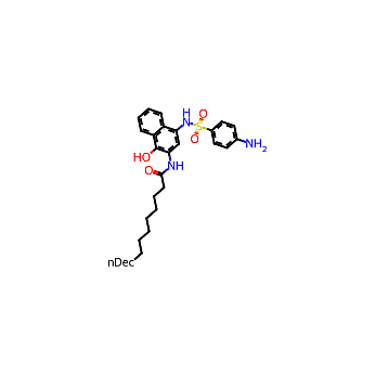 CCCCCCCCCCCCCCCCCC(=O)Nc1cc(NS(=O)(=O)c2ccc(N)cc2)c2ccccc2c1O